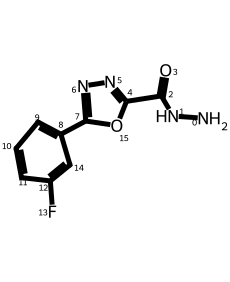 NNC(=O)c1nnc(-c2cccc(F)c2)o1